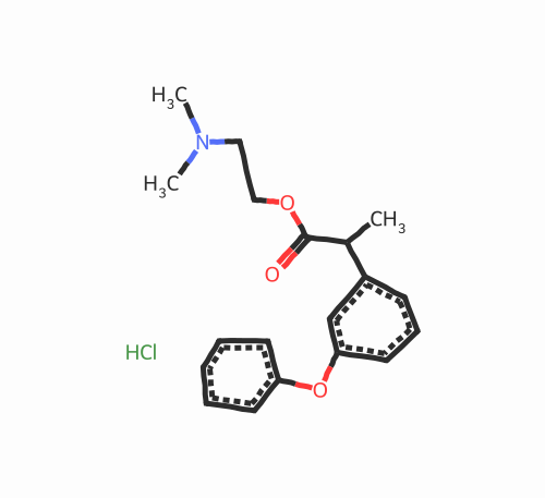 CC(C(=O)OCCN(C)C)c1cccc(Oc2ccccc2)c1.Cl